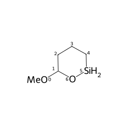 COC1CCC[SiH2]O1